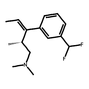 C/C=C(/c1cccc(C(F)F)c1)[C@@H](C)CN(C)C